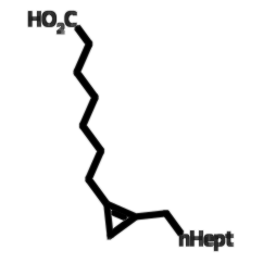 CCCCCCCCC1=C(CCCCCCC(=O)O)C1